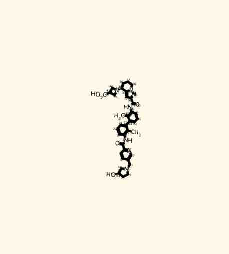 Cc1c(NC(=O)c2ccc(CN3CC[C@@H](O)C3)cn2)cccc1-c1cccc(NC(=O)c2cc3n(n2)CCC[C@@H]3N2CC(C(=O)O)C2)c1C